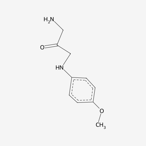 COc1ccc(NCC(=O)CN)cc1